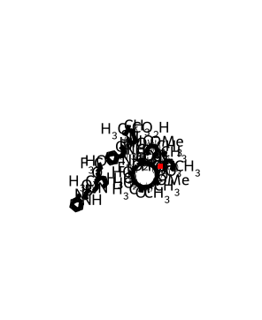 CC1(C)S[C@@H]2[C@H](NC(=O)[C@H](N)c3ccc(O)cc3)C(=O)N2[C@H]1C(=O)O.CC[C@H]1OC(=O)[C@H](C)[C@@H](O[C@H]2C[C@@](C)(OC)[C@@H](O)[C@H](C)O2)[C@H](C)[C@@H](O[C@@H]2O[C@H](C)C[C@H](N(C)C)[C@H]2O)[C@](C)(OC)C[C@@H](C)C(=O)[C@H](C)[C@@H](O)[C@]1(C)O.Cc1c(OCC(F)(F)F)ccnc1C[S@+]([O-])c1nc2ccccc2[nH]1